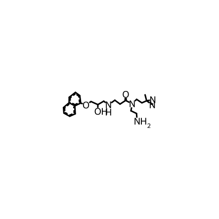 CC1(CCN(CCN)C(=O)CCNCC(O)COc2cccc3ccccc23)N=N1